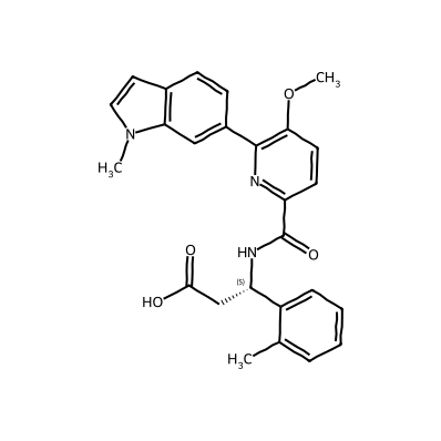 COc1ccc(C(=O)N[C@@H](CC(=O)O)c2ccccc2C)nc1-c1ccc2ccn(C)c2c1